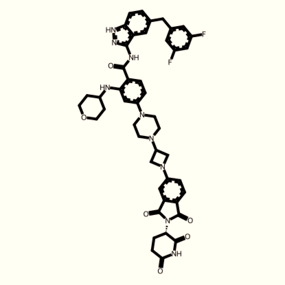 O=C1CC[C@H](N2C(=O)c3ccc(N4CC(N5CCN(c6ccc(C(=O)Nc7n[nH]c8ccc(Cc9cc(F)cc(F)c9)cc78)c(NC7CCOCC7)c6)CC5)C4)cc3C2=O)C(=O)N1